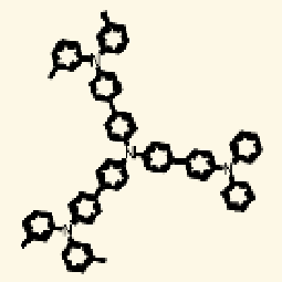 Cc1cccc(N(c2ccc(-c3ccc(N(c4ccc(-c5ccc(N(c6ccccc6)c6ccccc6)cc5)cc4)c4ccc(-c5ccc(N(c6cccc(C)c6)c6cccc(C)c6)cc5)cc4)cc3)cc2)c2cccc(C)c2)c1